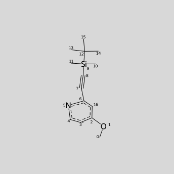 COc1[c]cnc(C#C[Si](C)(C)C(C)(C)C)c1